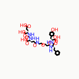 O=C(O)CC[C@H](NC(=O)N[C@@H](CCC(=O)NCCOCCC(=O)N[C@@H](CCc1ccccc1)C(=O)N[C@@H](Cc1ccc(O)cc1)C(=O)O)C(=O)O)C(=O)O